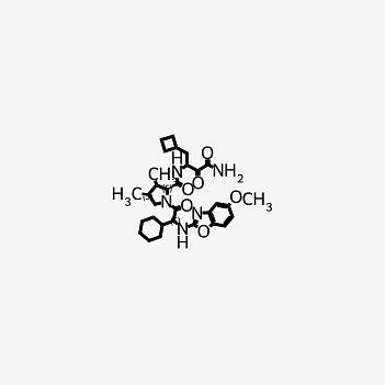 COc1ccc2oc(N[C@H](C(=O)N3C[C@@H](C)C(C)[C@H]3C(=O)NC(CC3CCC3)C(=O)C(N)=O)C3CCCCC3)nc2c1